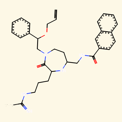 C=CCOC(CN1CCC(CNC(=O)c2ccc3ccccc3c2)NC(CCCNC(=N)NC)C1=O)c1ccccc1